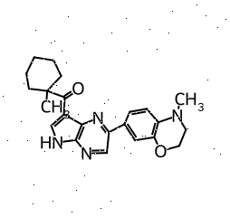 CN1CCOc2cc(-c3cnc4[nH]cc(C(=O)C5(C)CCCCC5)c4n3)ccc21